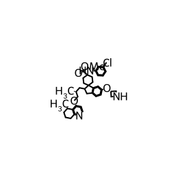 COC(=O)C1(Nc2cccc(Cl)c2)CCC2(CC1)c1cc(OC3CNC3)ccc1CC2C[C@@H](C)COc1ccnc2c1[C@H](C)CCC2